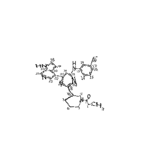 CCC(=O)N1CCCC(c2nc(Nc3cccc(F)c3)cc(-c3cncc4[nH]ccc34)n2)C1